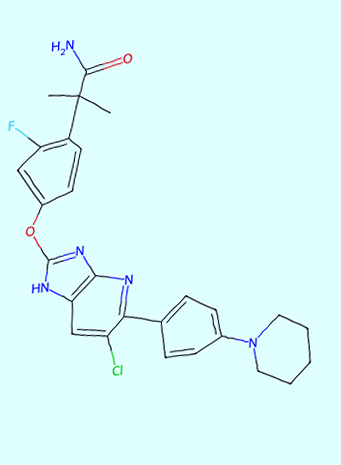 CC(C)(C(N)=O)c1ccc(Oc2nc3nc(-c4ccc(N5CCCCC5)cc4)c(Cl)cc3[nH]2)cc1F